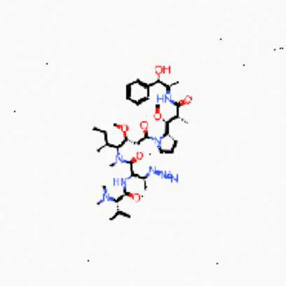 CC[C@H](C)[C@@H]([C@@H](CC(=O)N1CCC[C@H]1[C@H](OC)[C@@H](C)C(=O)N[C@H](C)[C@@H](O)c1ccccc1)OC)N(C)C(=O)[C@H](NC(=O)[C@H](C(C)C)N(C)C)[C@H](C)N=[N+]=[N-]